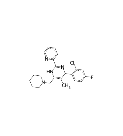 CC1=C(CN2CCCCC2)NC(c2ccccn2)=NC1c1ccc(F)cc1Cl